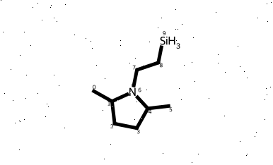 CC1CCC(C)N1CC[SiH3]